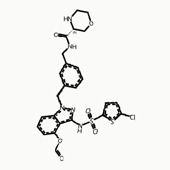 O=COc1cccc2c1c(NS(=O)(=O)c1ccc(Cl)s1)nn2Cc1cccc(CNC(=O)[C@H]2COCCN2)c1